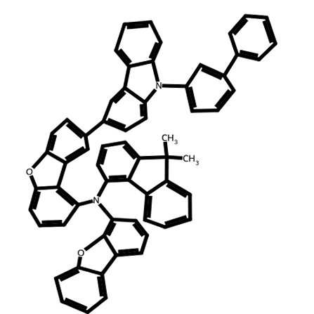 CC1(C)c2ccccc2-c2c(N(c3cccc4c3oc3ccccc34)c3cccc4oc5ccc(-c6ccc7c(c6)c6ccccc6n7-c6cccc(-c7ccccc7)c6)cc5c34)cccc21